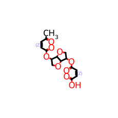 CC(=O)/C=C\C(=O)OC1COC2C(OC(=O)/C=C\C(=O)O)COC12